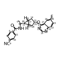 C[C@H](NC(=O)c1ccc(C#N)cc1)[C@H]1[C@@H]2C[C@@H](Oc3ncnc4ccc(F)cc34)C[C@@H]21